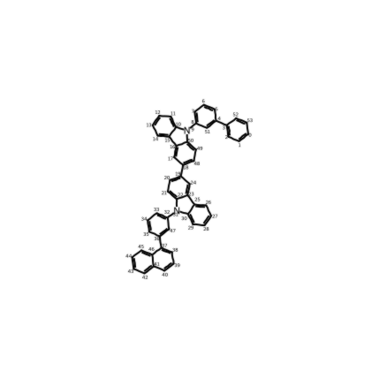 c1ccc(-c2cccc(-n3c4ccccc4c4cc(-c5ccc6c(c5)c5ccccc5n6-c5cccc(-c6cccc7ccccc67)c5)ccc43)c2)cc1